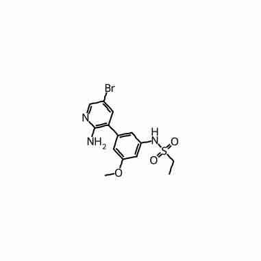 CCS(=O)(=O)Nc1cc(OC)cc(-c2cc(Br)cnc2N)c1